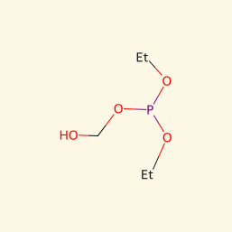 CCOP(OCC)OCO